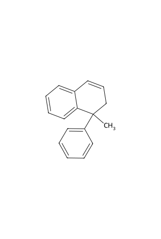 CC1(c2ccccc2)CC=Cc2ccccc21